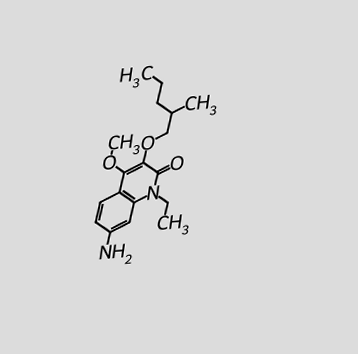 CCCC(C)COc1c(OC)c2ccc(N)cc2n(CC)c1=O